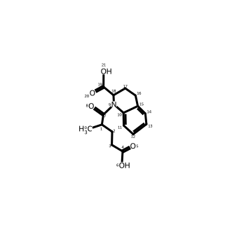 CC(CCC(=O)O)C(=O)N1c2ccccc2CCC1C(=O)O